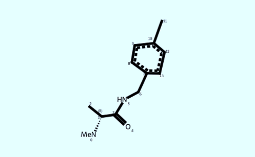 CN[C@H](C)C(=O)NCc1ccc(C)cc1